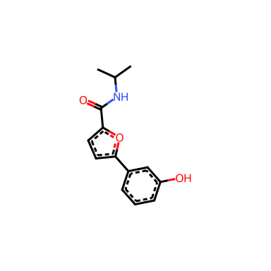 CC(C)NC(=O)c1ccc(-c2cccc(O)c2)o1